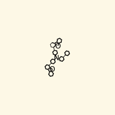 C1=c2c(oc3ccccc23)=C(c2ccc(N(c3ccc(-c4cccc5c4oc4ccccc45)cc3)c3cccc(-c4ccccc4)c3)cc2)CC1